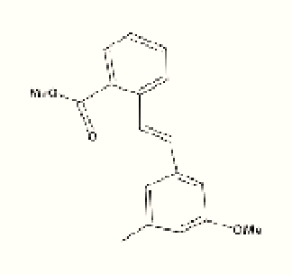 COC(=O)c1ccccc1C=Cc1cc(C)cc(OC)c1